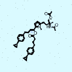 CC(=O)N[C@](C)(CCc1ccc(/C(=C/CCc2ccc(C3CC3)cc2)OC(=O)CCCc2ccc(C3CC3)cc2)n1C)COC(C)=O